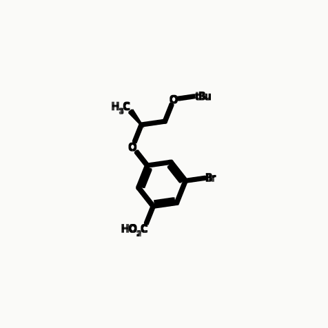 C[C@@H](COC(C)(C)C)Oc1cc(Br)cc(C(=O)O)c1